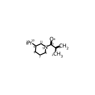 C=C(C)C(=O)N1CCCC(C(C)C)C1